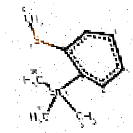 CSc1cccc[c]1[Sn]([CH3])([CH3])[CH3]